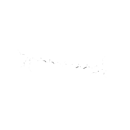 CCO[Si](CCN=CN=CCSSSCC=NC=NCC[Si](OCC)(OCC)OCC)(OCC)OCC